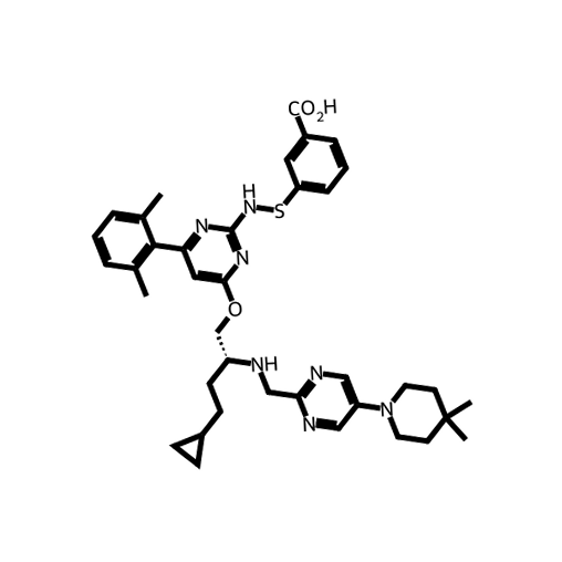 Cc1cccc(C)c1-c1cc(OC[C@@H](CCC2CC2)NCc2ncc(N3CCC(C)(C)CC3)cn2)nc(NSc2cccc(C(=O)O)c2)n1